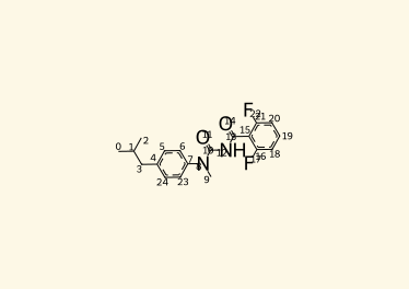 CC(C)Cc1ccc(N(C)C(=O)NC(=O)c2c(F)cccc2F)cc1